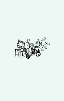 CS(=O)(=O)c1ccc(N2C3CCC2CC(N(C(=O)C2CC2)c2ccc(F)c(C(F)(F)F)c2)C3)nc1